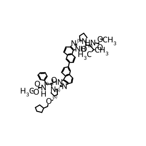 COC(=O)N[C@H](C(=O)N1CCC[C@H]1c1nc2ccc3cc(-c4ccc5c(ccc6nc([C@@H]7C[C@H](COCC8CCCC8)CN7C(=O)[C@H](NC(=O)OC)c7ccccc7)[nH]c65)c4)ccc3c2[nH]1)C(C)C